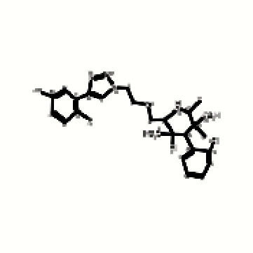 CCC1(C(=O)O)C(COCCn2cc(-c3cc(F)ccc3F)nn2)NC(C)C(C)(C(=O)O)C1c1ccccc1Cl